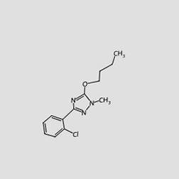 CCCCOc1nc(-c2ccccc2Cl)nn1C